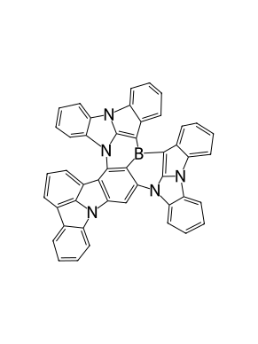 c1ccc2c(c1)c1c3n(c4ccccc4n23)-c2cc3c(c4c2B1c1c2ccccc2n2c5ccccc5n-4c12)c1cccc2c4ccccc4n3c21